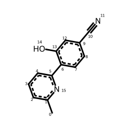 Cc1cccc(-c2ccc(C#N)cc2O)n1